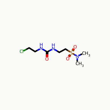 CN(C)S(=O)(=O)CCNC(=O)NCCCl